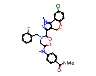 CNC(=O)c1ccc(NC(=O)CN(Cc2ccccc2F)C(=O)c2nn(C)c3c2COc2ccc(Cl)cc2-3)cc1